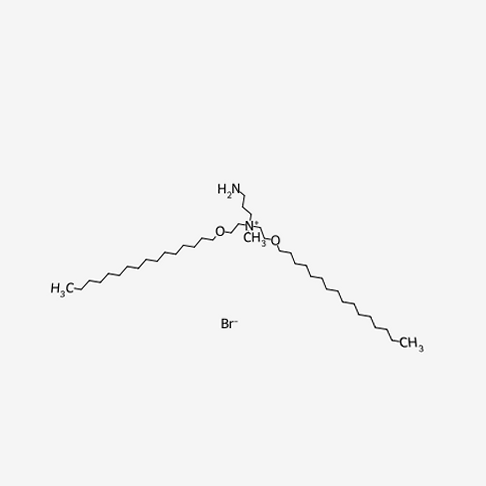 CCCCCCCCCCCCCCCCOCC[N+](C)(CCCN)CCOCCCCCCCCCCCCCCCC.[Br-]